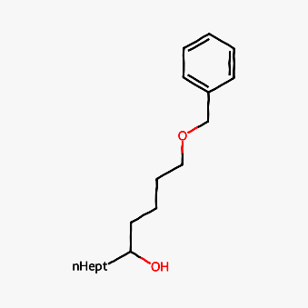 CCCCCCCC(O)CCCCOCc1ccccc1